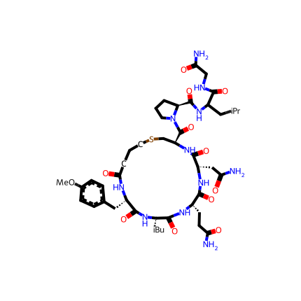 CCC(C)[C@@H]1NC(=O)[C@H](Cc2ccc(OC)cc2)NC(=O)CCCSC[C@@H](C(=O)N2CCC[C@H]2C(=O)NC(CC(C)C)C(=O)NCC(N)=O)NC(=O)[C@H](CC(N)=O)NC(=O)[C@H](CCC(N)=O)NC1=O